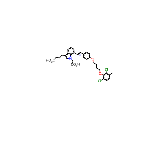 Cc1ccc(Cl)c(OCCCCOc2ccc(/C=C/c3cccc4c(CCCC(=O)O)cn(CC(=O)O)c34)cc2)c1Cl